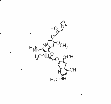 CNC[C@H](COc1cc2nc(NC)cc(C)c2cc1OC)Oc1cc(NC)nc2cc(OC[C@H](O)CN3CCC3)c(OC)cc12